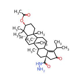 CC(=O)O[C@H]1CC[C@@]2(C)[C@@H](CC[C@]3(C)[C@]2(C)CCC2C4=C(C(C)C)C(=O)C[C@]4(C(=O)NN)CC[C@]23C)C1(C)C